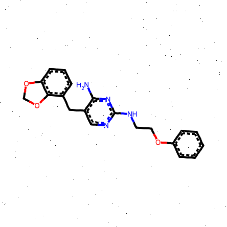 Nc1nc(NCCOc2ccccc2)ncc1Cc1cccc2c1OCO2